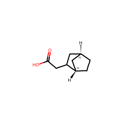 O=C(O)CC1C[C@H]2CC[C@H]1C2